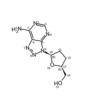 Nc1ncnc2c1nnn2[C@H]1CC[C@@H](CO)O1